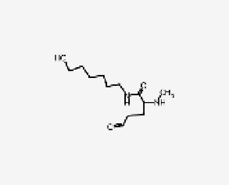 CN[C@@H](CCC=O)C(=O)NCCCCCCO